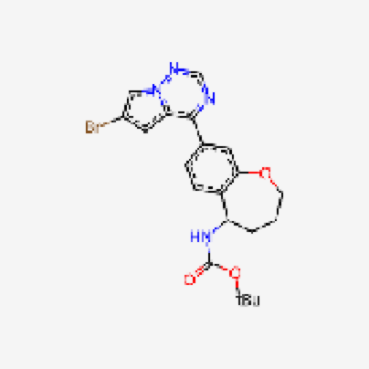 CC(C)(C)OC(=O)NC1CCCOc2cc(-c3ncnn4cc(Br)cc34)ccc21